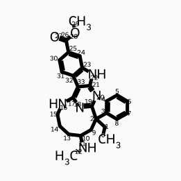 CCC1(c2ccccc2)CC(NC)CCCNc2nc1nc1[nH]c3cc(C(=O)OC)ccc3c21